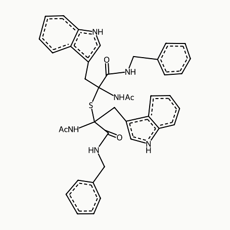 CC(=O)NC(Cc1c[nH]c2ccccc12)(SC(Cc1c[nH]c2ccccc12)(NC(C)=O)C(=O)NCc1ccccc1)C(=O)NCc1ccccc1